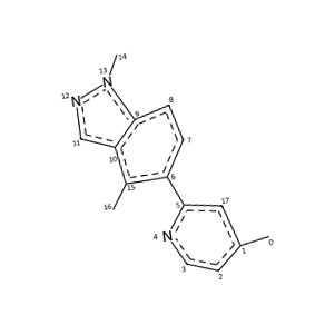 Cc1ccnc(-c2ccc3c(cnn3C)c2C)c1